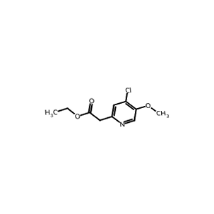 CCOC(=O)Cc1cc(Cl)c(OC)cn1